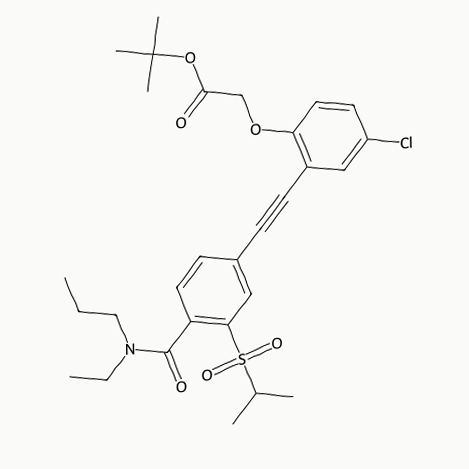 CCCN(CC)C(=O)c1ccc(C#Cc2cc(Cl)ccc2OCC(=O)OC(C)(C)C)cc1S(=O)(=O)C(C)C